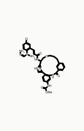 COC(=O)Nc1ccc2c(c1)NC(=O)c1cccc(c1)CCCOCC(NC(=O)/C=C/c1cc(Cl)ccc1N(N)/C=N\N)c1nc-2c[nH]1